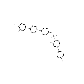 CCCCCc1cnc(-c2ccc(C(F)(F)Oc3ccc(-c4ccc(-c5ccc(OC(F)(F)F)c(F)c5)c(F)c4)cc3)c(F)c2)nc1